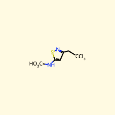 O=C(O)Nc1cc(CC(Cl)(Cl)Cl)ns1